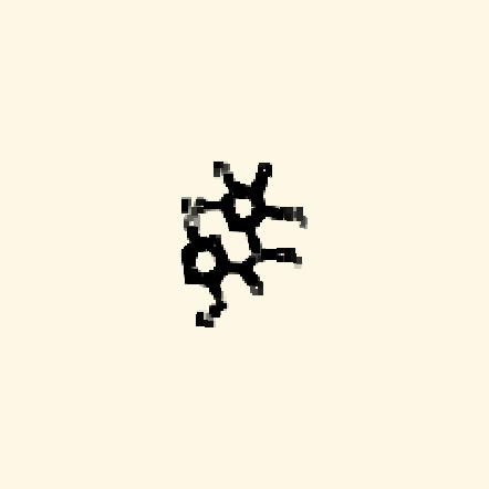 CCSc1ccc(Cl)nc1C(=O)N(C)c1cc(C(F)(F)F)n(CC)c(=O)c1N